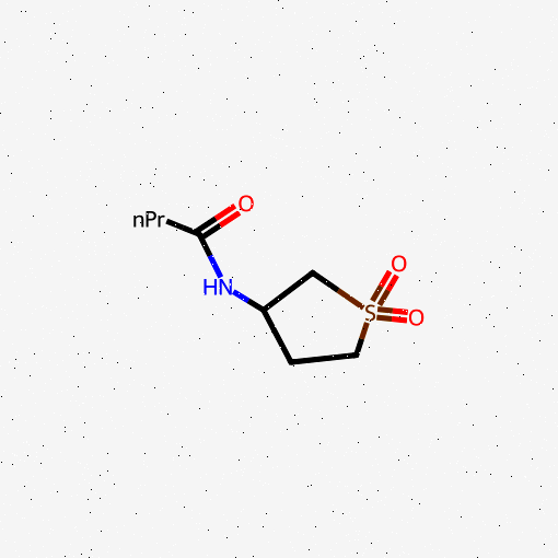 CCCC(=O)NC1CCS(=O)(=O)C1